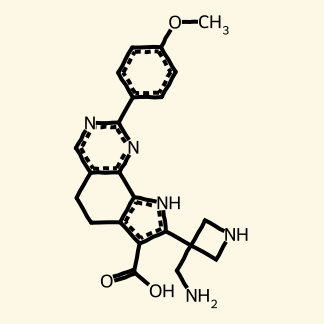 COc1ccc(-c2ncc3c(n2)-c2[nH]c(C4(CN)CNC4)c(C(=O)O)c2CC3)cc1